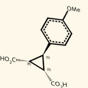 COc1ccc([C@H]2[C@H](C(=O)O)[C@@H]2C(=O)O)cc1